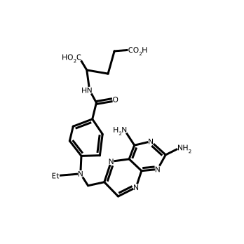 CCN(Cc1cnc2nc(N)nc(N)c2n1)c1ccc(C(=O)NC(CCC(=O)O)C(=O)O)cc1